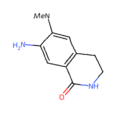 CNc1cc2c(cc1N)C(=O)NCC2